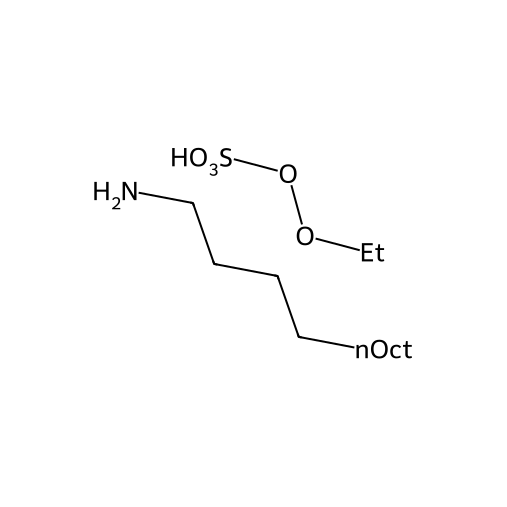 CCCCCCCCCCCCN.CCOOS(=O)(=O)O